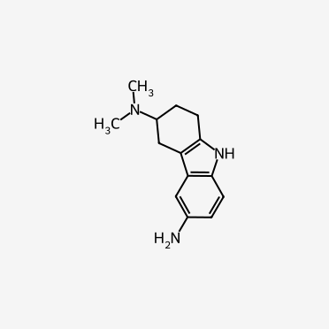 CN(C)C1CCc2[nH]c3ccc(N)cc3c2C1